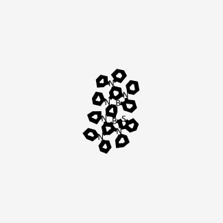 c1ccc(N(c2ccccc2)c2cc3c4c(c2)N(c2ccccc2)c2cc5c(cc2B4c2ccccc2N3c2ccccc2)B2c3sc4ccccc4c3N(c3ccccc3)c3cc(N(c4ccccc4)c4ccccc4)cc(c32)N5c2ccccc2)cc1